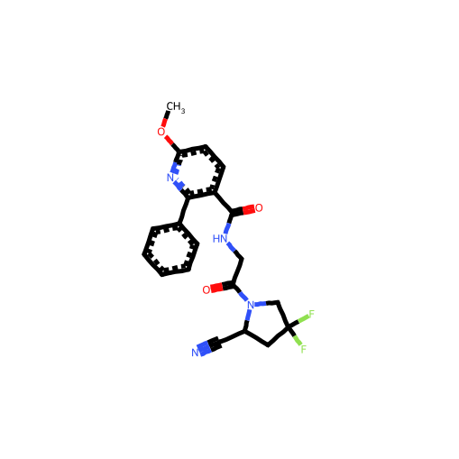 COc1ccc(C(=O)NCC(=O)N2CC(F)(F)CC2C#N)c(-c2ccccc2)n1